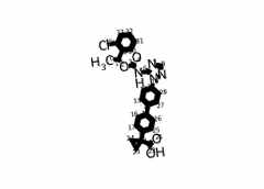 CC(OC(=O)Nc1ncnn1-c1ccc(-c2ccc(C3(C(=O)O)CC3)cc2)cc1)c1ccccc1Cl